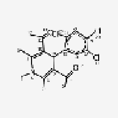 CC(=O)C1=C(C)N(C)C(C)=C(C(C)=O)C1c1cc(Cl)c(Cl)cc1Cl